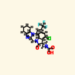 O=C(O)N1CC2(C1)C(=O)N(Cc1nc3c(n1CCCC(F)(F)F)CCCC3)c1cccc(Cl)c12